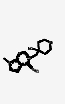 Cl.Cn1ccc2c(=O)n(CC3(O)CCNCC3)cnc21